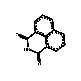 O=C1NC(=O)c2cccc3cccc1c23